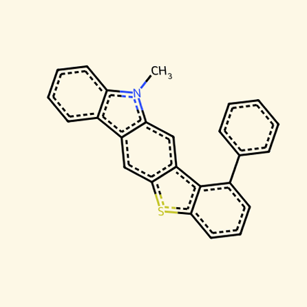 Cn1c2ccccc2c2cc3sc4cccc(-c5ccccc5)c4c3cc21